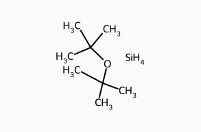 CC(C)(C)OC(C)(C)C.[SiH4]